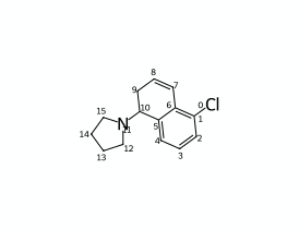 Clc1cccc2c1C=CCC2N1CCCC1